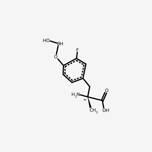 C[C@@](N)(Cc1ccc(OBO)c(F)c1)C(=O)O